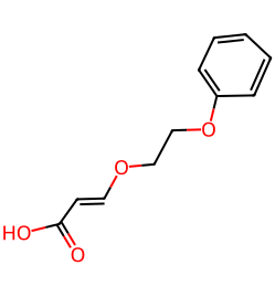 O=C(O)C=COCCOc1ccccc1